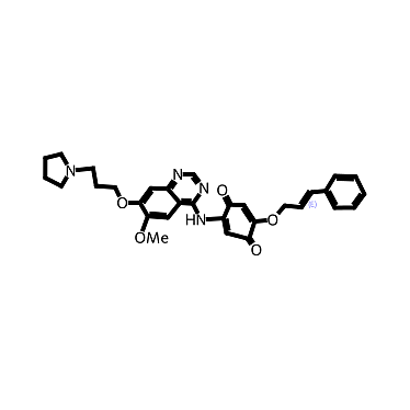 COc1cc2c(NC3=CC(=O)C(OC/C=C/c4ccccc4)=CC3=O)ncnc2cc1OCCCN1CCCC1